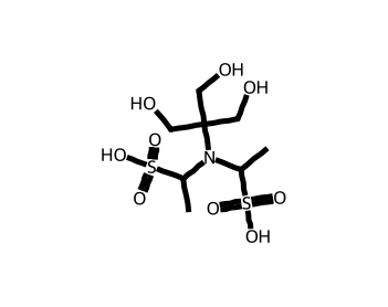 CC(N(C(C)S(=O)(=O)O)C(CO)(CO)CO)S(=O)(=O)O